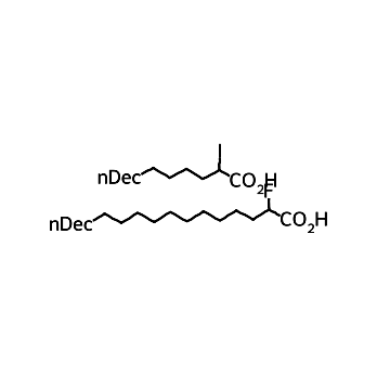 CCCCCCCCCCCCCCC(I)C(=O)O.CCCCCCCCCCCCCCCCCCCCC(F)C(=O)O